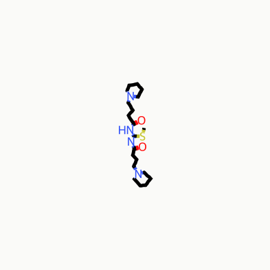 CS/C(=N\C(=O)CCCN1CCCCC1)NC(=O)CCCN1CCCCC1